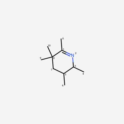 CC1=NC(C)C(C)CC1(C)C